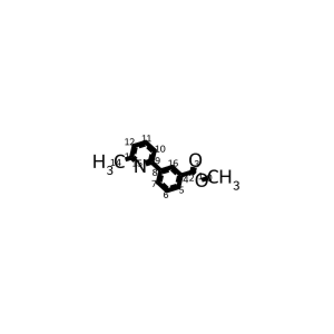 COC(=O)c1cccc(-c2cccc(C)n2)c1